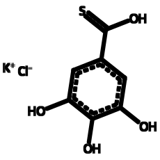 OC(=S)c1cc(O)c(O)c(O)c1.[Cl-].[K+]